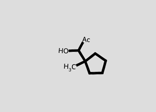 CC(=O)C(O)C1(C)CCCC1